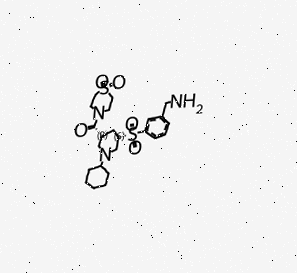 NCc1cccc(S(=O)(=O)[C@H]2C[C@@H](C(=O)N3CCS(=O)(=O)CC3)CN(C3CCCCC3)C2)c1